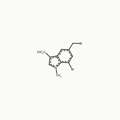 CCOC(=O)c1cn(C)c2c(Br)cc(CBr)cc12